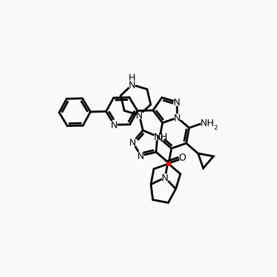 Nc1c(C2CC2)c(C2CC3CCC(C2)N3C(=O)c2nnc(N3CCNCC3)[nH]2)nc2c(-c3ccc(-c4ccccc4)nc3)cnn12